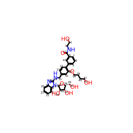 O=C(NCCO)c1cccc(-c2ccc(CNc3nc4ccccc4n3[C@@H]3O[C@H](CO)[C@@H](O)[C@H]3O)cc2OCCCCO)c1